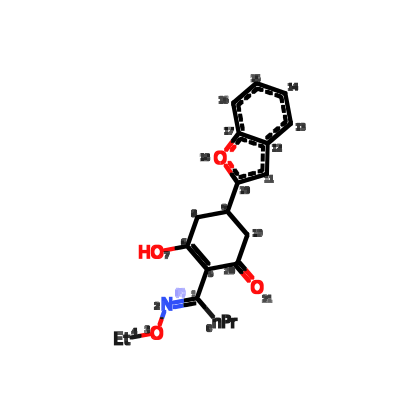 CCC/C(=N\OCC)C1=C(O)CC(c2cc3ccccc3o2)CC1=O